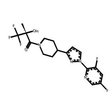 C[C@@](O)(C(=O)N1CCC(c2ccn(-c3ncc(F)cc3F)n2)CC1)C(F)(F)F